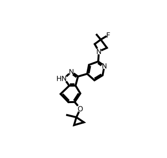 CC1(F)CN(c2cc(-c3n[nH]c4ccc(OC5(C)CC5)cc34)ccn2)C1